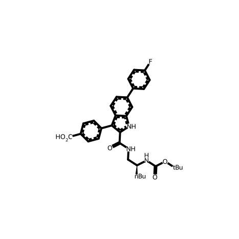 CCCC[C@@H](CNC(=O)c1[nH]c2cc(-c3ccc(F)cc3)ccc2c1-c1ccc(C(=O)O)cc1)NC(=O)OC(C)(C)C